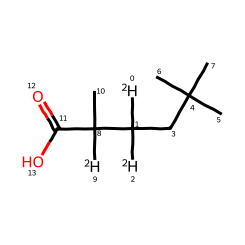 [2H]C([2H])(CC(C)(C)C)C([2H])(C)C(=O)O